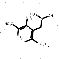 CCC(C(=O)O)=C(CN(C)C)C(C)=C(C)C(=O)O